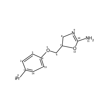 CC(C)c1ccc(OCC2CN=C(N)O2)cc1